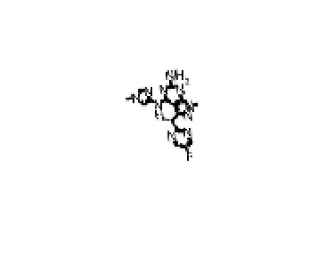 C[C@H](c1ncc(F)cn1)c1nn(C)c2nc(N)nc(Nc3cn(C)cn3)c12